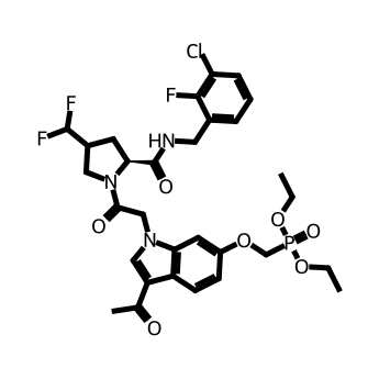 CCOP(=O)(COc1ccc2c(C(C)=O)cn(CC(=O)N3CC(C(F)F)C[C@H]3C(=O)NCc3cccc(Cl)c3F)c2c1)OCC